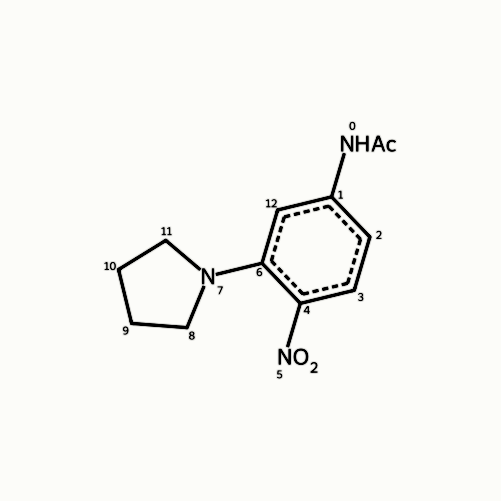 CC(=O)Nc1ccc([N+](=O)[O-])c(N2CCCC2)c1